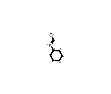 [O]/C=N/C1CCCCC1